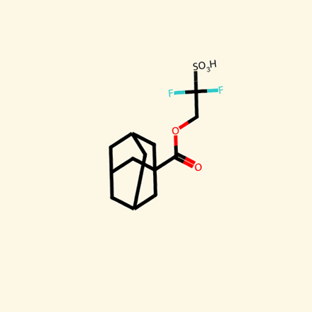 O=C(OCC(F)(F)S(=O)(=O)O)C12CC3CC(CC(C3)C1)C2